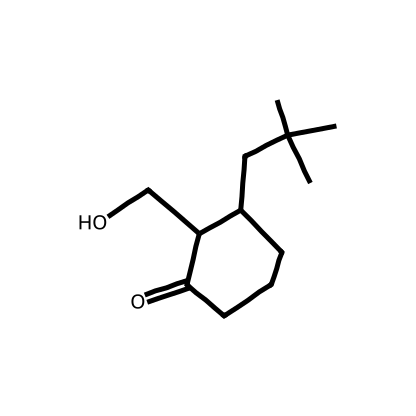 CC(C)(C)CC1CCCC(=O)C1CO